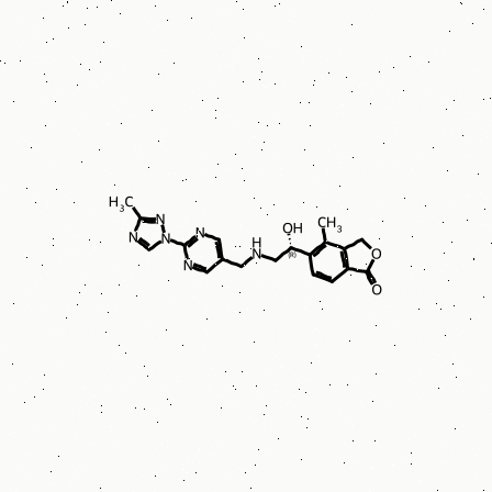 Cc1ncn(-c2ncc(CNC[C@H](O)c3ccc4c(c3C)COC4=O)cn2)n1